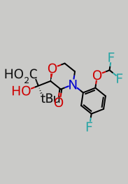 CC(C)(C)[C@](O)(C(=O)O)[C@H]1OCCN(c2cc(F)ccc2OC(F)F)C1=O